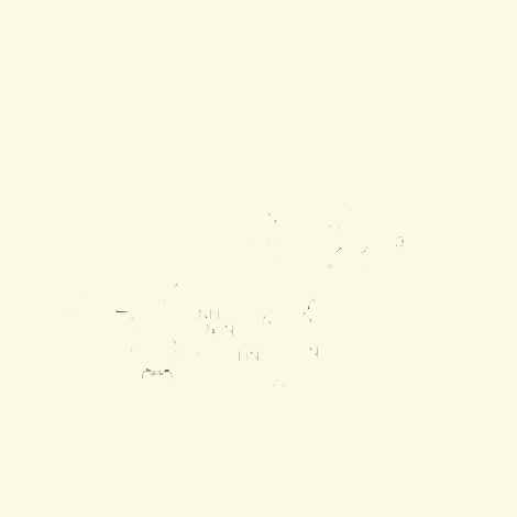 COc1ccc(C(OC(C(=O)COc2ccccc2)[C@H]2O[C@@H](n3cnc4c(=O)[nH]c(N)nc43)C[C@@H]2OP(=O)(OCCCO[C@@H]2O[C@H](COC(C)=O)[C@@H](OC(C)=O)[C@H](OC(C)=O)[C@H]2NC(C)=O)N(C(C)C)C(C)C)(c2ccccc2)c2ccc(OC)cc2)cc1